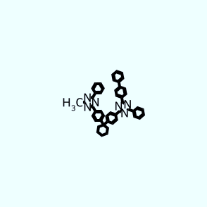 Cc1nc(-c2ccccc2)nc(-c2ccc(C3(c4ccc(-c5nc(-c6ccccc6)nc(-c6ccc(-c7ccccc7)cc6)n5)cc4)CCCCC3)cc2)n1